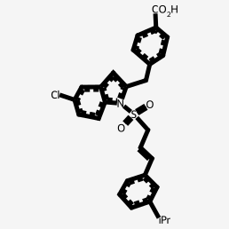 CC(C)c1cccc(C=CCS(=O)(=O)n2c(Cc3ccc(C(=O)O)cc3)cc3cc(Cl)ccc32)c1